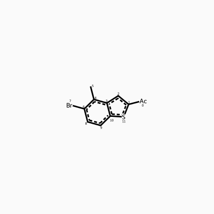 CC(=O)c1cc2c(C)c(Br)ccc2s1